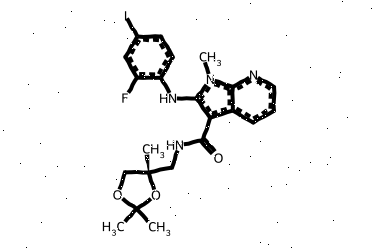 Cn1c(Nc2ccc(I)cc2F)c(C(=O)NC[C@@]2(C)COC(C)(C)O2)c2cccnc21